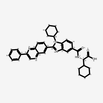 O=C(N[C@H](C(=O)O)C1CCCCC1)c1ccc2c(c1)nc(-c1ccc3nc(-c4ccccc4)cnc3c1)n2C1CCCCC1